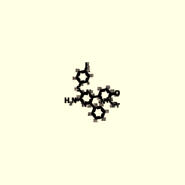 CC(C)n1nc(-c2nc(Sc3ccc(F)cc3)c(N)nc2-c2ccccc2)ccc1=O